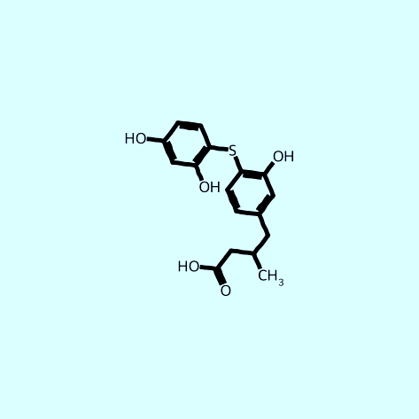 CC(CC(=O)O)Cc1ccc(Sc2ccc(O)cc2O)c(O)c1